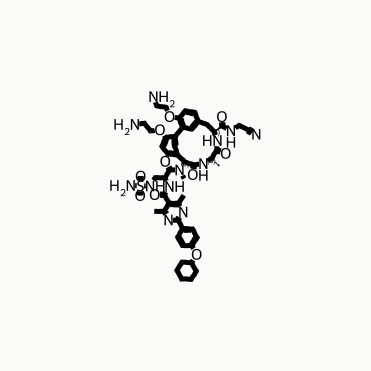 Cc1nc(-c2ccc(OC3CCCCC3)cc2)nc(C)c1C(=O)NC(CNS(N)(=O)=O)C(=O)N(C)[C@@H]1C(=O)N[C@@H](C)C(=O)N[C@H](C(=O)NCC#N)Cc2ccc(OCCN)c(c2)-c2cc1ccc2OCCN